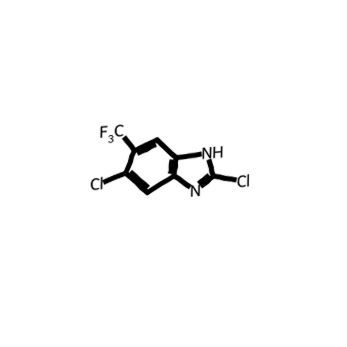 FC(F)(F)c1cc2[nH]c(Cl)nc2cc1Cl